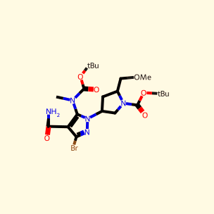 COCC1CC(n2nc(Br)c(C(N)=O)c2N(C)C(=O)OC(C)(C)C)CN1C(=O)OC(C)(C)C